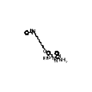 CCOC[C@H](Cc1ccc(OCCCCCCCCCCCn2cc(-c3ccccc3)nn2)cc1)n1cnc2c(N)nc3ccccc3c21